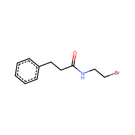 O=C(CCc1ccccc1)NCCBr